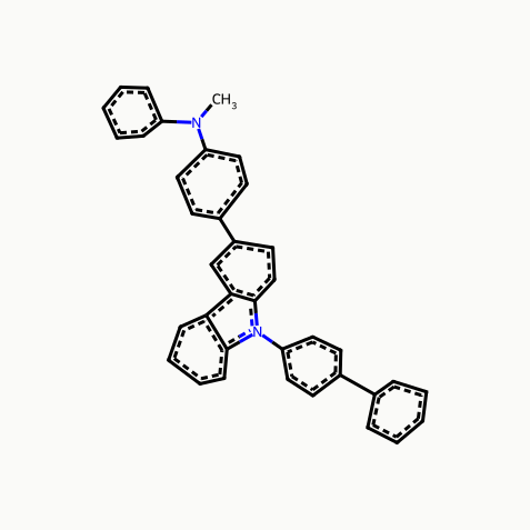 CN(c1ccccc1)c1ccc(-c2ccc3c(c2)c2ccccc2n3-c2ccc(-c3ccccc3)cc2)cc1